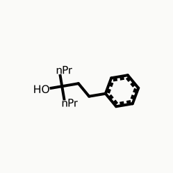 CCCC(O)(CCC)CCc1ccccc1